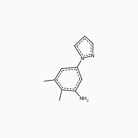 Cc1cc(-n2cccn2)cc(N)c1C